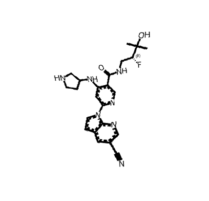 CC(C)(O)[C@H](F)CNC(=O)c1cnc(-n2ccc3cc(C#N)cnc32)cc1NC1CCNC1